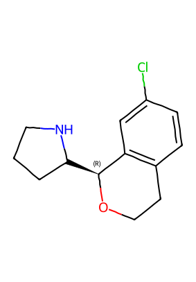 Clc1ccc2c(c1)[C@H](C1CCCN1)OCC2